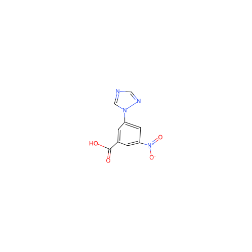 O=C(O)c1cc(-n2cncn2)cc([N+](=O)[O-])c1